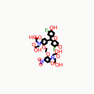 O=C(O)CN(CC(=O)O)c1ccc(-c2c3cc(F)c(=O)cc-3oc3cc(O)c(F)cc23)cc1OCCOc1cc([N+](=O)[O-])ccc1N(CC(=O)O)CC(=O)O